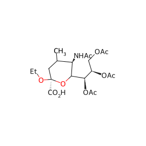 CCO[C@@]1(C(=O)O)CC(C)[C@@H](NC(C)=O)C([C@H](OC(C)=O)[C@@H](COC(C)=O)OC(C)=O)O1